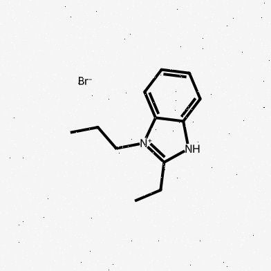 CCC[n+]1c(CC)[nH]c2ccccc21.[Br-]